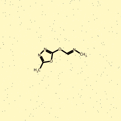 C/N=C/Oc1nnc(C)o1